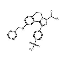 NC(=O)c1nn(-c2ccc(S(N)(=O)=O)cc2)c2c1CCc1ccc(NCc3ccccc3)cc1-2